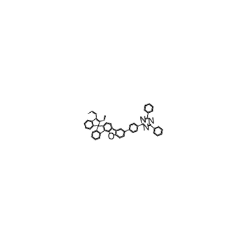 C=CC1=C(/C=C\C)c2ccccc2C12c1ccccc1-c1c2ccc2c1oc1ccc(-c3ccc(-c4nc(-c5ccccc5)nc(-c5ccccc5)n4)cc3)cc12